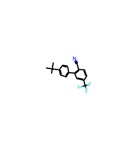 CC(C)(C)c1ccc(-c2cc(C(F)(F)F)ccc2C#N)cc1